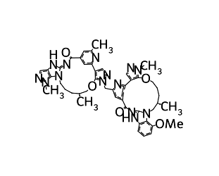 COc1cccc2c1N1C[C@H](C)CCCOc3c(cnn3C)-c3cc(cc(Cn4ncc5c4OC[C@@H](C)CCCN4/C(=N/C(=O)c6cc(C)nc-5c6)Nc5cnn(C)c54)n3)C(=O)/N=C/1N2